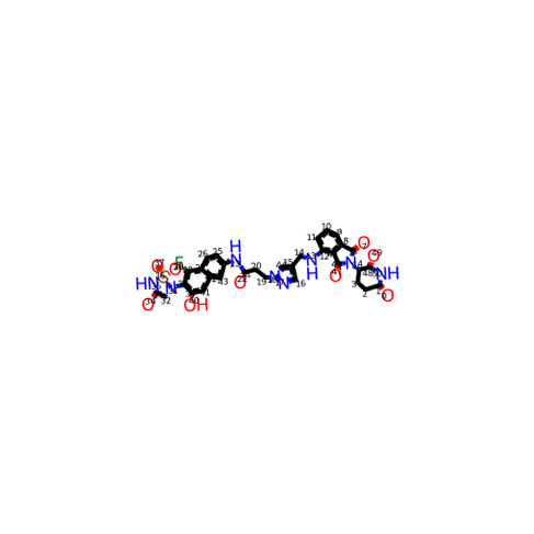 O=C1CCC(N2C(=O)c3cccc(NCc4cnn(CCC(=O)Nc5ccc6c(F)c(N7CC(=O)NS7(=O)=O)c(O)cc6c5)c4)c3C2=O)C(=O)N1